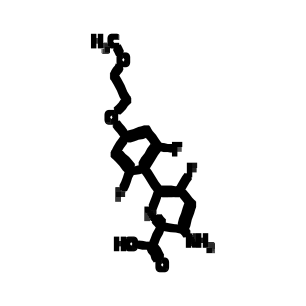 COCCOc1cc(F)c(-c2nc(C(=O)O)c(N)cc2F)c(F)c1